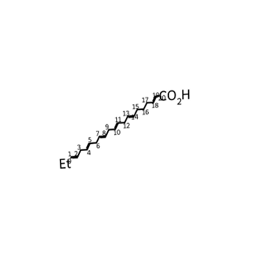 CCC=CCC=CCC=CCC=CCC=CCCCC=CC(=O)O